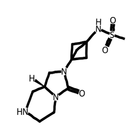 CS(=O)(=O)NC12CC(N3C[C@H]4CNCCN4C3=O)(C1)C2